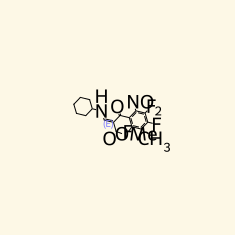 COC(=O)/C(=C/NC1CCCCC1)C(=O)c1c(F)c(C)c(F)c(F)c1[N+](=O)[O-]